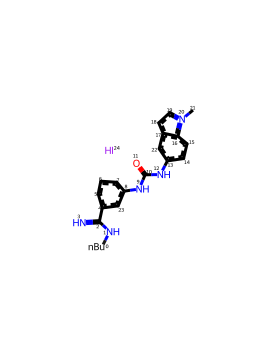 CCCCNC(=N)c1cccc(NC(=O)Nc2ccc3c(ccn3C)c2)c1.I